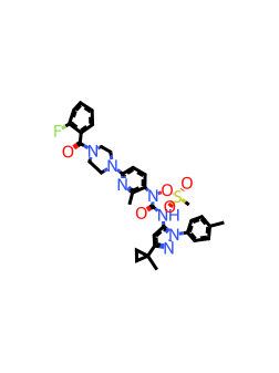 Cc1ccc(-n2nc(C3(C)CC3)cc2NC(=O)N(OS(C)(=O)=O)c2ccc(N3CCN(C(=O)c4ccccc4F)CC3)nc2C)cc1